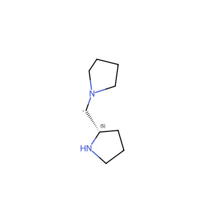 [CH]([C@@H]1CCCN1)N1CCCC1